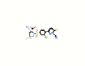 N#Cc1nc(-c2ccc(S(=O)(=O)N3C[C@H](F)C[C@@H]3C(N)=O)cc2Cl)ccc1F